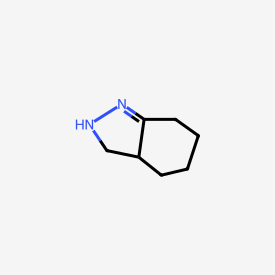 C1CCC2CNN=C2C1